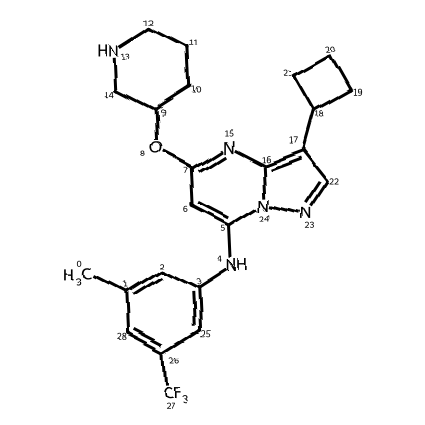 Cc1cc(Nc2cc(OC3CCCNC3)nc3c(C4CCC4)cnn23)cc(C(F)(F)F)c1